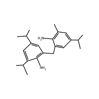 Cc1cc(C(C)C)cc(Cc2cc(C(C)C)cc(C(C)C)c2N)c1N